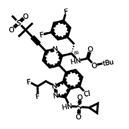 CC(C)(C)OC(=O)N[C@@H](Cc1cc(F)cc(F)c1)c1nc(C#CC(C)(C)S(C)(=O)=O)ccc1-c1ccc(Cl)c2c(NS(=O)(=O)C3CC3)nn(CC(F)F)c12